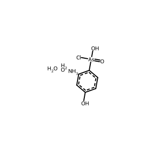 N.O.O.O=[As](O)(Cl)c1ccc(O)cc1